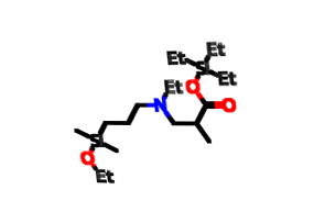 CCO[Si](C)(C)CCCN(CC)CC(C)C(=O)O[Si](CC)(CC)CC